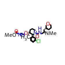 CN[C@H](CNC(=O)N1CCC[C@@H](COCCNC(=O)OC)[C@@H]1c1cc(Cl)ccc1C)C[C@H]1CCCOC1